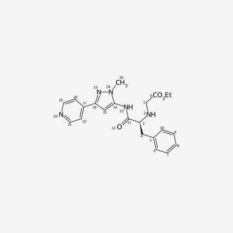 CCOC(=O)CN[C@@H](Cc1ccccc1)C(=O)Nc1cc(-c2ccncc2)nn1C